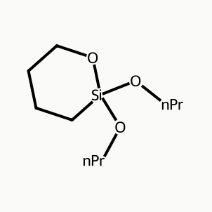 CCCO[Si]1(OCCC)CCCCO1